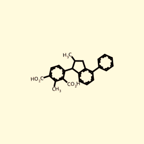 Cc1c(C(=O)O)ccc(C2c3cccc(-c4ccccc4)c3CC2C)c1C(=O)O